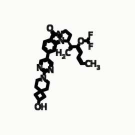 C=C(/C(=C\C=C/C)OC(F)F)[C@@H]1CCn2c(=O)c3ccc(-c4cnc(N5CCC6(CC5)CC(O)C6)nc4)cc3n21